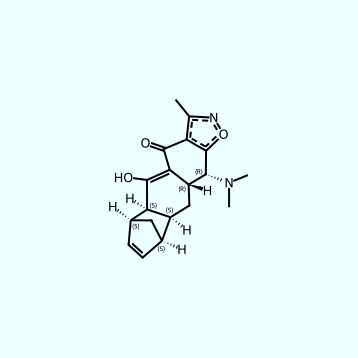 Cc1noc2c1C(=O)C1=C(O)[C@H]3[C@@H](C[C@H]1[C@H]2N(C)C)[C@H]1C=C[C@@H]3C1